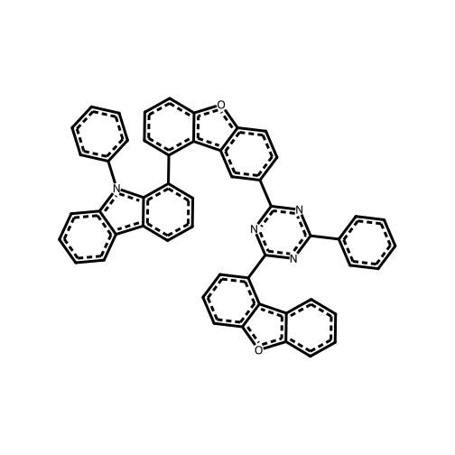 c1ccc(-c2nc(-c3ccc4oc5cccc(-c6cccc7c8ccccc8n(-c8ccccc8)c67)c5c4c3)nc(-c3cccc4oc5ccccc5c34)n2)cc1